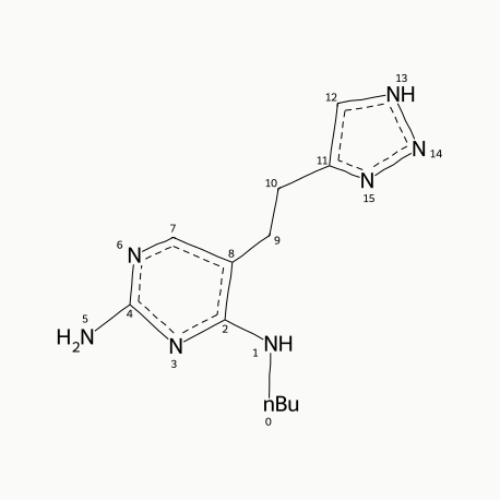 CCCCNc1nc(N)ncc1CCc1c[nH]nn1